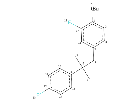 CC(C)(C)c1ccc(CC(C)(C)c2ccc(F)cc2)cc1F